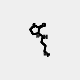 O=C1SCC[C@@H]1NCCC[18F]